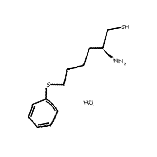 Cl.N[C@H](CS)CCCCSc1ccccc1